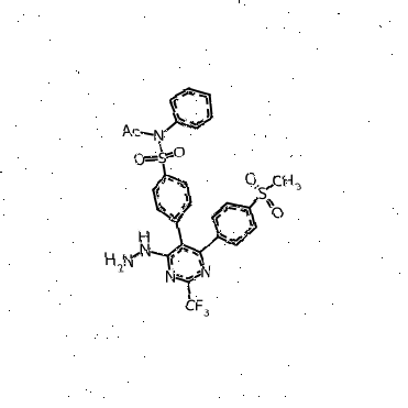 CC(=O)N(c1ccccc1)S(=O)(=O)c1ccc(-c2c(NN)nc(C(F)(F)F)nc2-c2ccc(S(C)(=O)=O)cc2)cc1